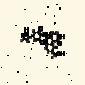 C[C@@H](O)c1ccc2nc(Nc3c(Cl)cc(-c4ccn[nH]4)cc3Cl)c3cc[nH]c(=O)c3c2c1